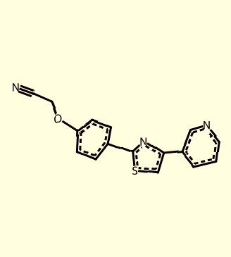 N#CCOc1ccc(-c2nc(-c3cccnc3)cs2)cc1